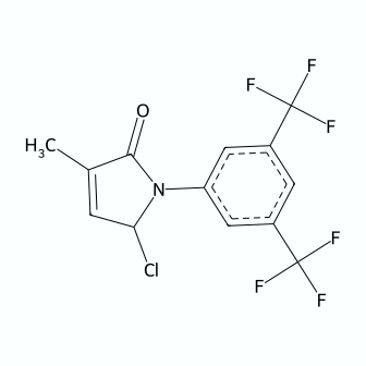 CC1=CC(Cl)N(c2cc(C(F)(F)F)cc(C(F)(F)F)c2)C1=O